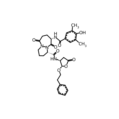 Cc1cc(C(=O)N[C@H]2CCC(=O)N3CCC[C@@H](C(=O)N[C@H]4CC(=O)O[C@H]4OCCc4ccccc4)N3C2=O)cc(C)c1O